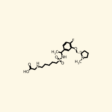 CC(NS(=O)(=O)CCCCCNCC(=O)O)c1ccc(F)c(OC[C@@H]2CCCN2C)c1